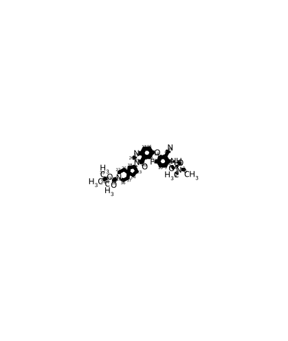 CCN(C)S(=O)(=O)Nc1ccc(F)c(Oc2ccc3ncn(C4CCC5(CCN(C(=O)OC(C)(C)C)CC5)C4)c(=O)c3c2)c1C#N